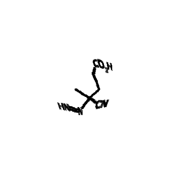 CC(C#N)(CCC(=O)O)N=N